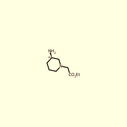 CCOC(=O)CN1CCC[C@@H](N)C1